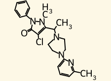 Cc1cccc(N2CCN(C(C)c3c(Cl)c(=O)n(-c4ccccc4)n3C)CC2)n1